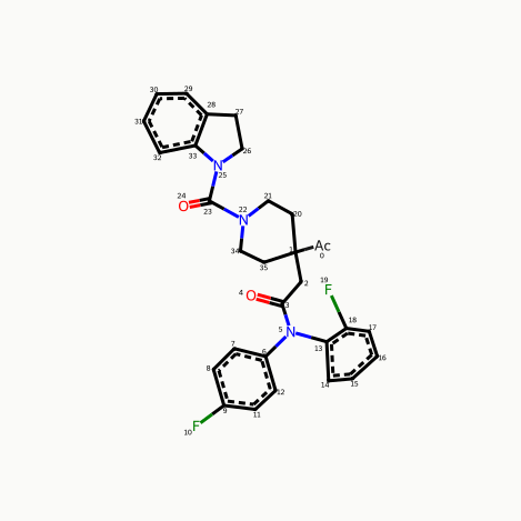 CC(=O)C1(CC(=O)N(c2ccc(F)cc2)c2ccccc2F)CCN(C(=O)N2CCc3ccccc32)CC1